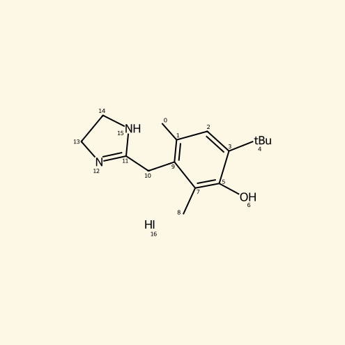 Cc1cc(C(C)(C)C)c(O)c(C)c1CC1=NCCN1.I